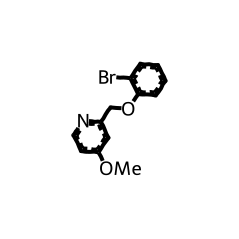 COc1ccnc(COc2ccccc2Br)c1